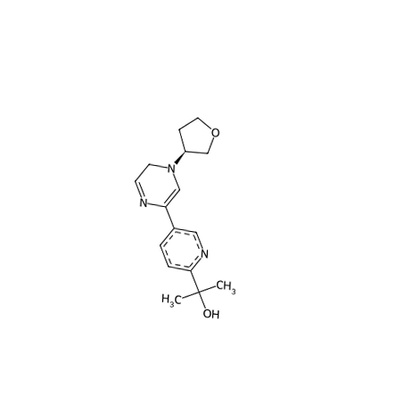 CC(C)(O)c1ccc(C2=CN([C@H]3CCOC3)CC=N2)cn1